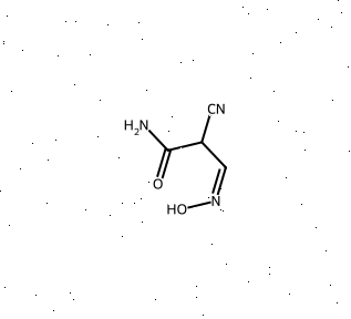 N#CC(/C=N\O)C(N)=O